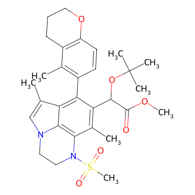 COC(=O)C(OC(C)(C)C)c1c(C)c2c3c(c(C)cn3CCN2S(C)(=O)=O)c1-c1ccc2c(c1C)CCCO2